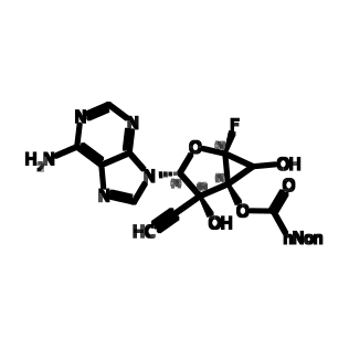 C#C[C@]1(O)[C@H](n2cnc3c(N)ncnc32)O[C@]2(F)C(O)[C@@]21OC(=O)CCCCCCCCC